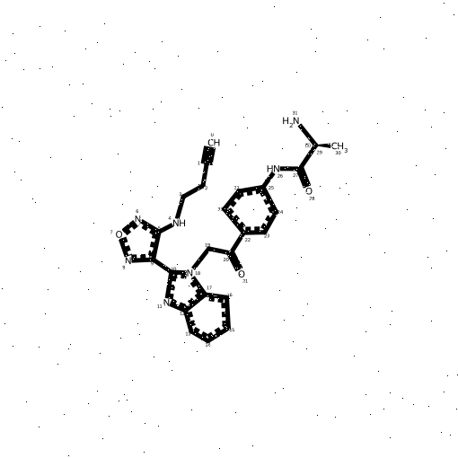 C#CCCNc1nonc1-c1nc2ccccc2n1CC(=O)c1ccc(NC(=O)[C@H](C)N)cc1